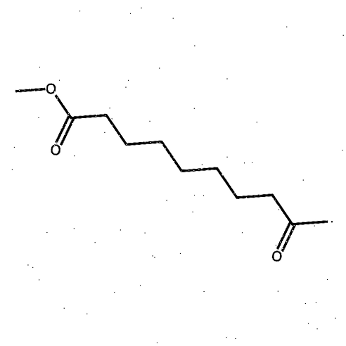 [CH2]C(=O)CCCCCCCC(=O)OC